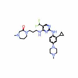 CN1CCN(c2ccc(Nc3ncc(C(F)F)c(NCCCN4CCCN(C)CC4=O)n3)c(C3CC3)c2)CC1